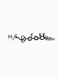 C=CCCC1OCC(c2ccc(-c3ccc(-c4ccc(OCCCC)c(F)c4F)cc3)c(F)c2)CO1